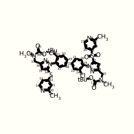 Cc1cc(S(=O)(=O)c2cc(CN(C)C(=O)OC(C)(C)C)nn2-c2ccccc2Cl)ccn1.Cc1cc(Sc2cc(CN(C)C(=O)OC(C)(C)C)nn2-c2ccccc2Cl)ccn1